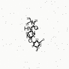 Cc1cc(C)cc(Oc2cnc(NC(=O)N(C)C(C)C)cn2)c1